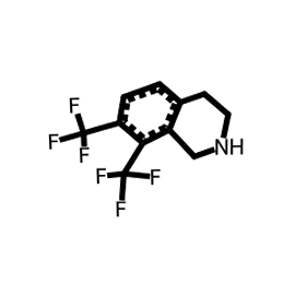 FC(F)(F)c1ccc2c(c1C(F)(F)F)CNCC2